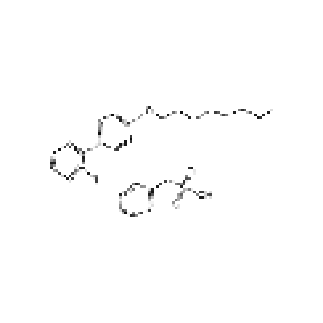 CCCCCCCCOc1ccc(-c2ccccc2I)cc1.O=S(=O)(O)Cc1ccccc1